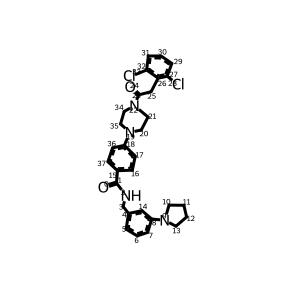 O=C(NCc1cccc(N2CCCC2)c1)c1ccc(N2CCN(C(=O)Cc3c(Cl)cccc3Cl)CC2)cc1